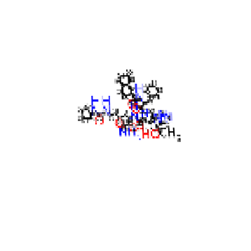 CC(C)(O)c1cnnn1[C@H]1C[C@@H](C(=O)NC(CCCCNC(=O)NC2CCCCC2)C(=O)C(N)=O)N(C(=O)C(CC2CCCCC2)NC(=O)c2ccc3ccccc3c2)C1